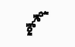 CC(=O)c1ccc(NC(=O)CCCC(=O)Nc2ccc(C(C)=O)cc2)cc1